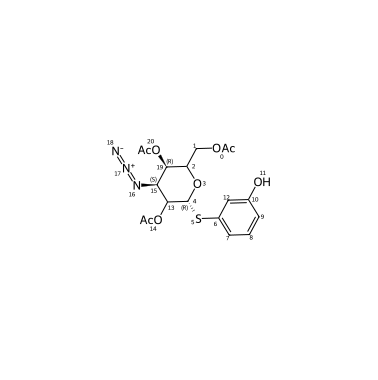 CC(=O)OCC1O[C@H](Sc2cccc(O)c2)C(OC(C)=O)[C@@H](N=[N+]=[N-])[C@H]1OC(C)=O